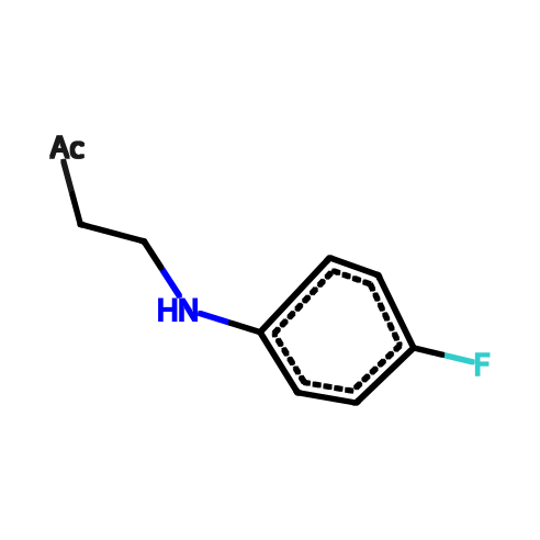 CC(=O)CCNc1ccc(F)cc1